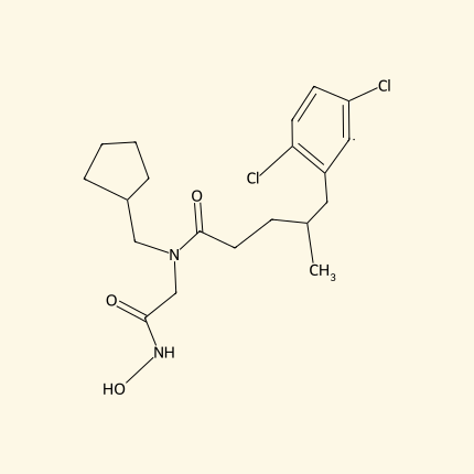 CC(CCC(=O)N(CC(=O)NO)CC1CCCC1)Cc1[c]c(Cl)ccc1Cl